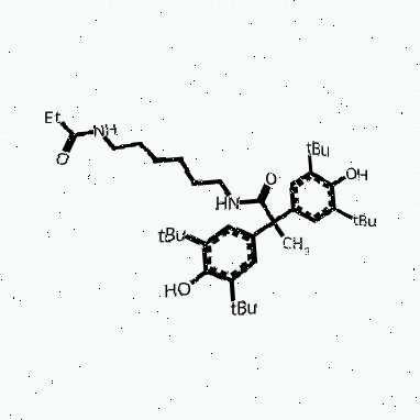 CCC(=O)NCCCCCCNC(=O)C(C)(c1cc(C(C)(C)C)c(O)c(C(C)(C)C)c1)c1cc(C(C)(C)C)c(O)c(C(C)(C)C)c1